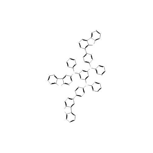 c1ccc(N(c2ccc(-c3ccc4sc5ccccc5c4c3)cc2)c2cc(N(c3ccccc3)c3ccc(-c4cccc5c4oc4ccccc45)cc3)cc(N(c3ccccc3)c3ccc4oc5ccccc5c4c3)c2)cc1